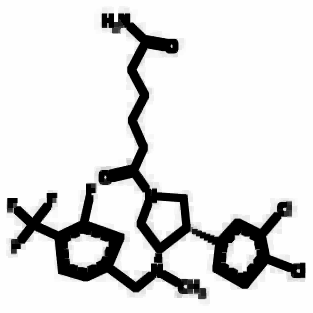 CN(Cc1ccc(C(F)(F)F)c(F)c1)[C@@H]1CN(C(=O)CCCCC(N)=O)C[C@@H]1c1ccc(Cl)c(Cl)c1